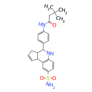 CC(C)(C)CC(=O)Nc1ccc(C2Nc3ccc(S(N)(=O)=O)cc3C3C=CCC32)cc1